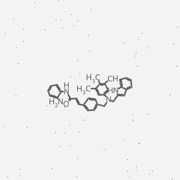 Cc1cc(N(Cc2ccc(C=CC(=O)Nc3ccccc3N)cc2)Cc2cc3ccccc3[nH]2)cc(C)c1C